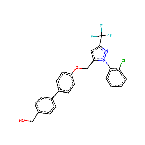 OCc1ccc(-c2ccc(OCc3cc(C(F)(F)F)nn3-c3ccccc3Cl)cc2)cc1